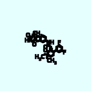 CCC1(CC)CCC(c2cc(F)cc(F)c2)N(CC(=O)Nc2ccc3c(c2)CC2(C3)C(=O)NC(=O)N2C)C1=O